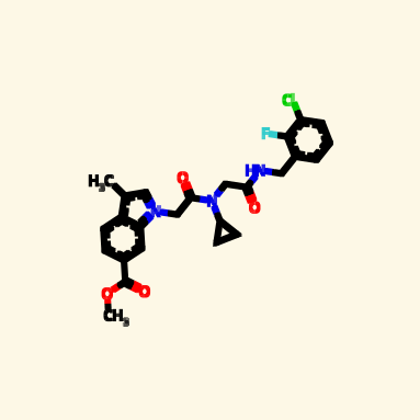 COC(=O)c1ccc2c(C)cn(CC(=O)N(CC(=O)NCc3cccc(Cl)c3F)C3CC3)c2c1